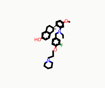 CCN(Cc1ccc(OCCCN2CCCCC2)c(F)c1)c1cc(OC)ccc1[C@@H]1CCc2cc(O)ccc2C1